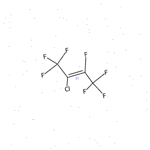 F/C(=C(/Cl)C(F)(F)F)C(F)(F)F